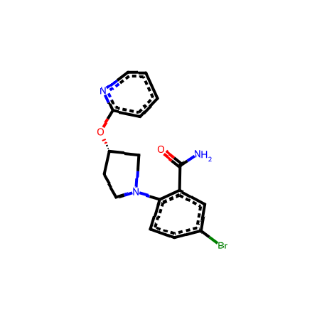 NC(=O)c1cc(Br)ccc1N1CC[C@H](Oc2ccccn2)C1